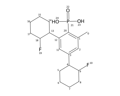 Cc1cc(C2CCCCC2F)cc(C2CCCCC2F)c1P(=O)(O)O